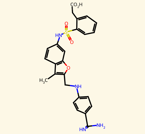 Cc1c(CNc2ccc(C(=N)N)cc2)oc2cc(NS(=O)(=O)c3ccccc3CC(=O)O)ccc12